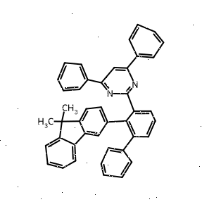 CC1(C)c2ccccc2-c2cc(-c3c(-c4ccccc4)cccc3-c3nc(-c4ccccc4)cc(-c4ccccc4)n3)ccc21